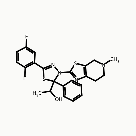 CC(O)C1(c2ccccc2)SC(c2cc(F)ccc2F)=NN1c1nc2c(s1)CN(C)CC2